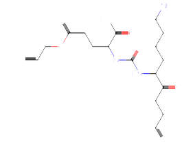 C=CCCC(=O)C(CCCCN)NC(=O)NC(CCC(=C)OCC=C)C(C)=O